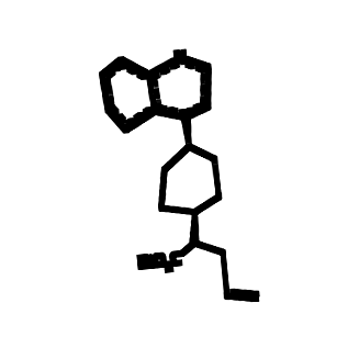 C=CCC(C(=O)OCC)[C@H]1CC[C@@H](c2ccnc3ccccc32)CC1